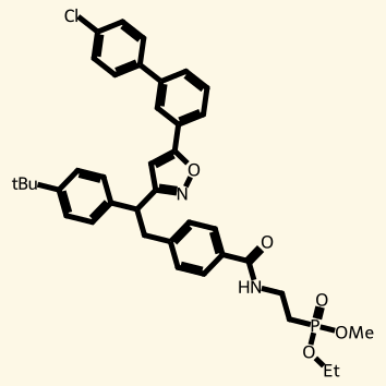 CCOP(=O)(CCNC(=O)c1ccc(CC(c2ccc(C(C)(C)C)cc2)c2cc(-c3cccc(-c4ccc(Cl)cc4)c3)on2)cc1)OC